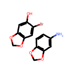 Nc1ccc2c(c1)OCO2.Oc1cc2c(cc1Br)OCO2